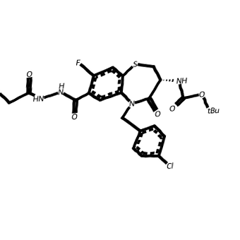 CC(C)(C)OC(=O)N[C@H]1CSc2cc(F)c(C(=O)NNC(=O)CBr)cc2N(Cc2ccc(Cl)cc2)C1=O